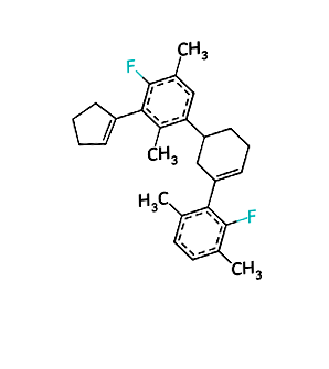 Cc1ccc(C)c(C2=CCCC(c3cc(C)c(F)c(C4=CCCC4)c3C)C2)c1F